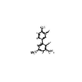 Cc1cc(-c2nc(N)nc(N)c2F)ccc1O